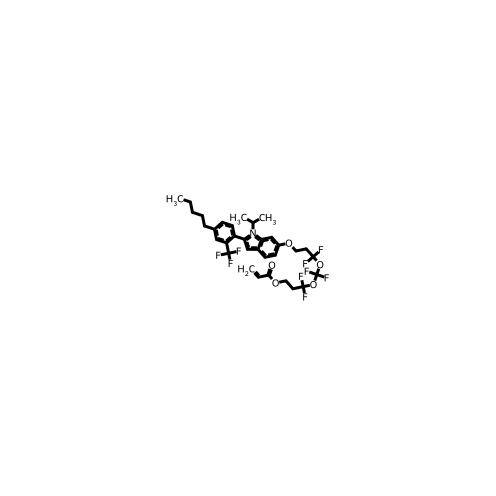 C=CC(=O)OCCC(F)(F)OC(F)(F)OC(F)(F)CCOc1ccc2cc(-c3ccc(CCCCC)cc3C(F)(F)F)n(C(C)C)c2c1